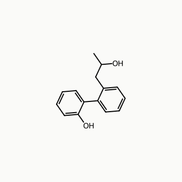 CC(O)Cc1ccccc1-c1ccccc1O